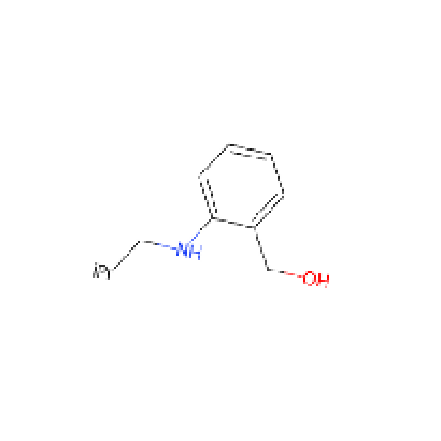 CC(C)CNc1ccccc1CO